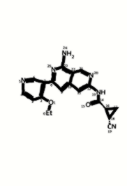 CCOc1ccncc1-c1cc2cc(NC(=O)[C@H]3C[C@@H]3C#N)ncc2c(N)n1